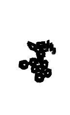 CC1(C)c2ccccc2-c2cc(N(c3ccc(-c4ccccc4)cc3)c3cccc4c3-c3ccccc3C4(c3ccccc3)c3ccccc3)ccc21